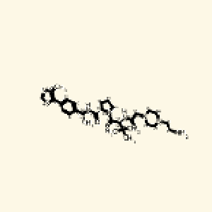 Cc1ncsc1-c1ccc([C@H](C)NC(=O)[C@@H]2CCCN2C(=O)[C@@H](NC(=O)CN2CCN(CCN)CC2)C(C)(C)C)cc1